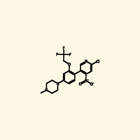 CN1CCN(c2ccc(-c3cnc(Cl)cc3[N+](=O)[O-])c(OCC(F)(F)F)c2)CC1